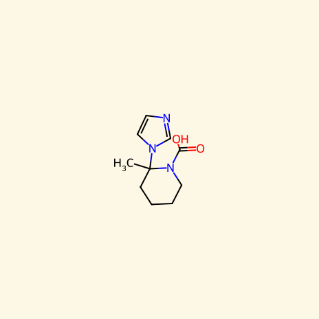 CC1(n2ccnc2)CCCCN1C(=O)O